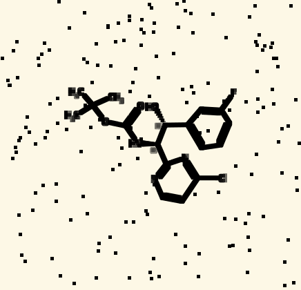 CC(C)(C)OC(=O)N[C@H](c1nccc(Cl)n1)[C@H](O)c1cccc(F)c1